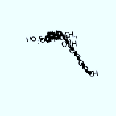 C#CCOCCOCCOCCOCCNC(=O)CCC(C)[C@H]1CC[C@H]2[C@@H]3CC=C4C[C@@H](OS(=O)(=O)O)CC[C@]4(C)[C@H]3CC[C@]12C